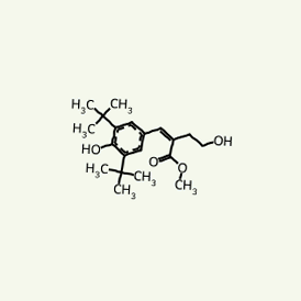 COC(=O)C(=Cc1cc(C(C)(C)C)c(O)c(C(C)(C)C)c1)CCO